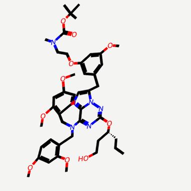 CCC[C@H](CCO)Oc1nc(N(Cc2ccc(OC)cc2OC)Cc2ccc(OC)cc2OC)c2ncc(Cc3cc(OC)cc(OCCN(C)C(=O)OC(C)(C)C)c3)n2n1